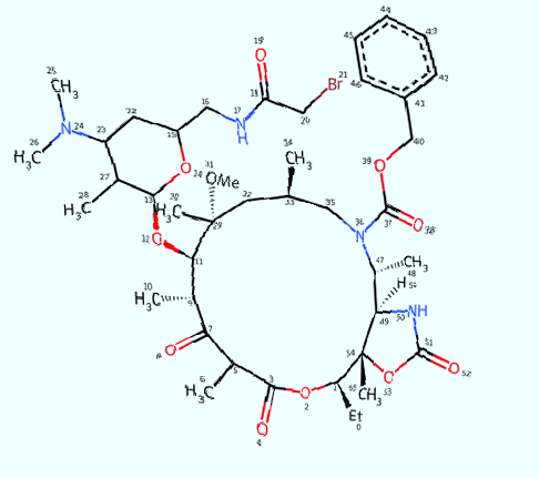 CC[C@H]1OC(=O)C(C)C(=O)[C@H](C)[C@@H](O[C@@H]2OC(CNC(=O)CBr)CC(N(C)C)C2C)[C@](C)(OC)C[C@@H](C)CN(C(=O)OCc2ccccc2)[C@H](C)[C@H]2NC(=O)O[C@@]21C